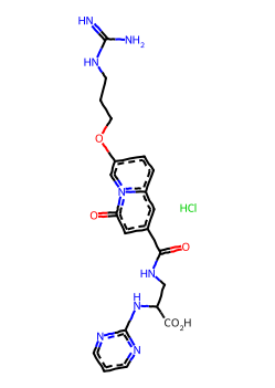 Cl.N=C(N)NCCCOc1ccc2cc(C(=O)NCC(Nc3ncccn3)C(=O)O)cc(=O)n2c1